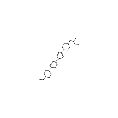 CCC(C)C[C@H]1CC[C@H](c2ccc(-c3ccc([C@H]4CC[C@H](CC)CC4)cc3)cc2)CC1